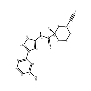 N#CN1CCC[C@](F)(C(=O)Nc2cc(-c3cccc(Cl)c3)no2)C1